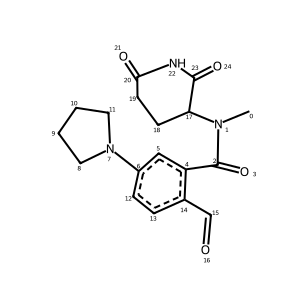 CN(C(=O)c1cc(N2CCCC2)ccc1C=O)C1CCC(=O)NC1=O